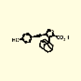 O=C(O)c1scc(C#Cc2ccc(O)cc2)c1C12CC3CC(CC(C3)C1)C2